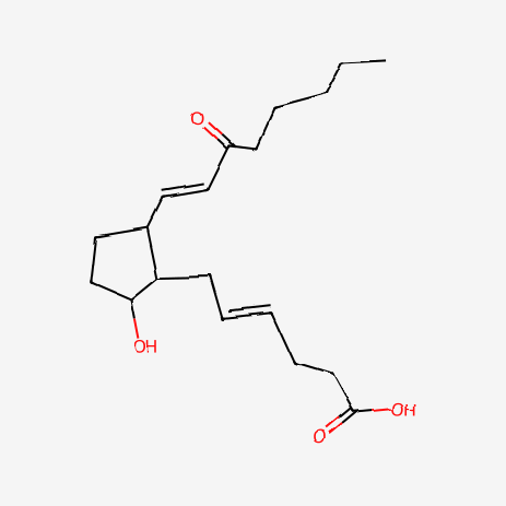 CCCCCC(=O)C=CC1CCC(O)C1CC=CCCC(=O)O